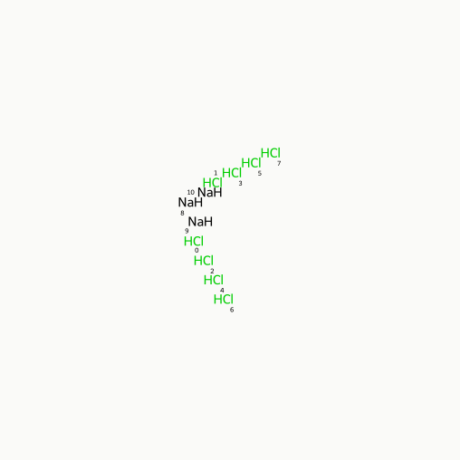 Cl.Cl.Cl.Cl.Cl.Cl.Cl.Cl.[NaH].[NaH].[NaH]